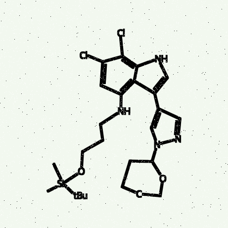 CC(C)(C)[Si](C)(C)OCCCNc1cc(Cl)c(Cl)c2[nH]cc(-c3cnn(C4CCCCO4)c3)c12